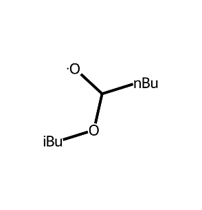 CCCCC([O])OC(C)CC